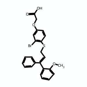 COc1ccccc1C(=CCSc1ccc(OCC(=O)O)cc1Br)c1ccccc1